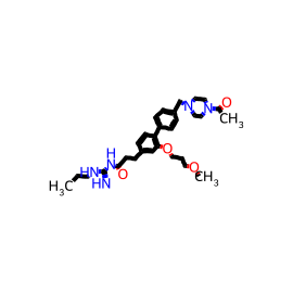 CCCNC(=N)NC(=O)CCc1ccc(-c2ccc(CN3CCN(C(C)=O)CC3)cc2)c(OCCCOC)c1